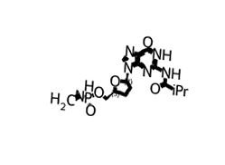 C=N[PH](=O)OC[C@@H]1CC[C@H](n2cnc3c(=O)[nH]c(NC(=O)C(C)C)nc32)O1